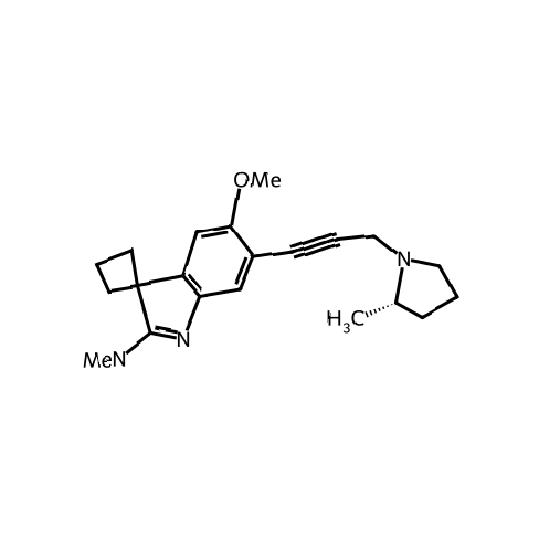 CNC1=Nc2cc(C#CCN3CCC[C@@H]3C)c(OC)cc2C12CCC2